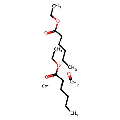 C=O.CCCCCC(=O)OCC.CCCCCC(=O)OCC.[Co]